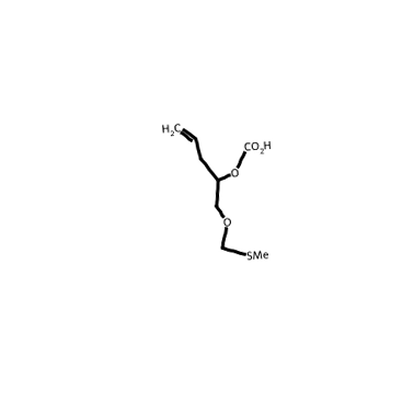 C=CCC(COCSC)OC(=O)O